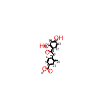 COC(=O)c1ccc(CC(=O)c2ccc(O)cc2O)c(C)c1